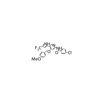 COc1ccc(COc2cc(NC(=O)c3ccc(Cl)cc3)ncc2-c2cc(C(F)(F)F)c[nH]2)cc1